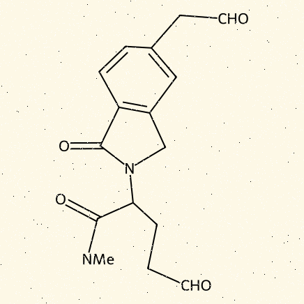 CNC(=O)C(CCC=O)N1Cc2cc(CC=O)ccc2C1=O